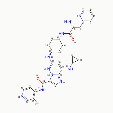 N[C@H](Cc1ccccn1)C(=O)N[C@H]1CC[C@H](Nc2cc(NC3CC3)c3ncc(C(=O)Nc4ccncc4F)n3n2)CC1